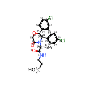 CCC[C@H](C(=O)NCCC(=O)O)N1C(=O)CO[C@@H](c2ccc(Cl)cc2)[C@H]1c1ccc(Cl)cc1